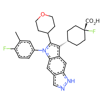 Cc1cc(-n2c(C3CCOCC3)c([C@H]3CC[C@](F)(C(=O)O)CC3)c3cc4[nH]ncc4cc32)ccc1F